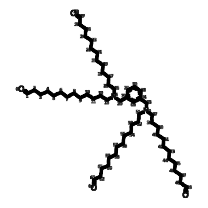 O=CCCCCCCCCCCCCN(CCCCCCCCCCCCC=O)Cc1cccc(CN(CCCCCCCCCCCCC=O)CCCCCCCCCCCCC=O)c1